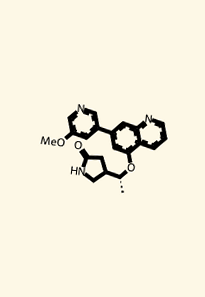 COc1cncc(-c2cc(O[C@H](C)C3CNC(=O)C3)c3cccnc3c2)c1